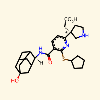 O=C(O)C[C@]1(c2ccc(C(=O)N[C@H]3C4CC5CC3C[C@@](O)(C5)C4)c(SC3CCCC3)n2)CCNC1